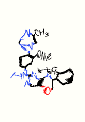 COc1cc(Nc2ncc3c(n2)N(C)C(c2ccccc2C)CO3)ccc1-n1cnc(C)c1